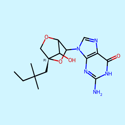 CCC(C)(C)C[C@]12COC(C(n3cnc4c(=O)[nH]c(N)nc43)O1)C2O